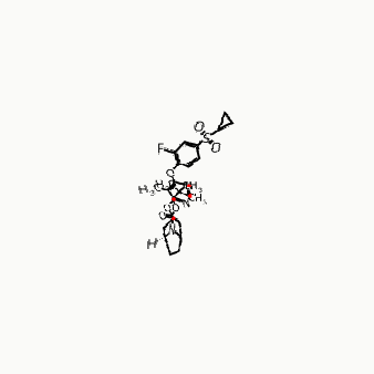 Cc1c(Oc2ccc(S(=O)(=O)C3CC3)cc2F)ncnc1OC1CC2CC[C@@H](C1)N2C(=O)OCC(C)(C)C